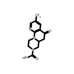 CCCC(=O)N1CCN2c3ncc(C(F)(F)F)cc3C(=O)CC2C1